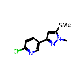 CSc1cc(-c2ccc(Cl)nc2)nn1C